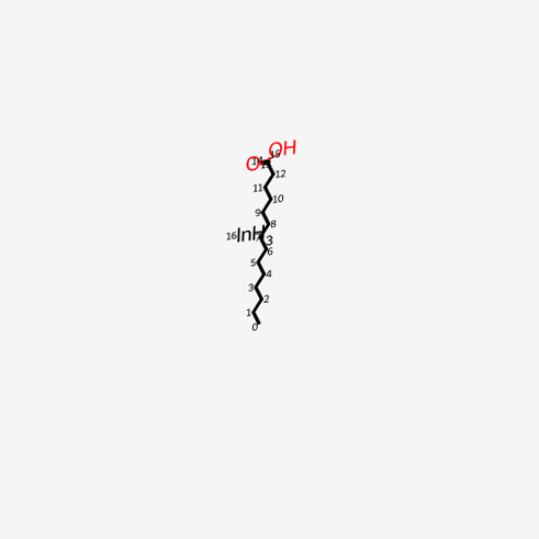 CCCCCCCCCCCCCC(=O)O.[InH3]